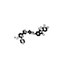 CC1C=CC(c2cnn([C@H]3C[C@H](CNc4ccc5c(c4)C(=O)N(C4CCC(=O)NC4=O)C5=O)C3)c2)=NC1N1CCOCC1